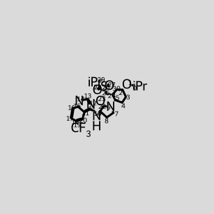 CC(C)O[C@@H]1CC[C@H](N2CC[C@H](Nc3ncnc4ccc(C(F)(F)F)cc34)C2=O)[C@@H](CS(=O)(=O)C(C)C)C1